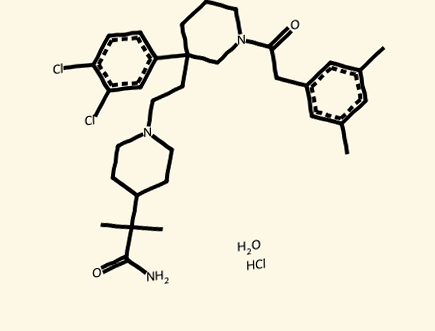 Cc1cc(C)cc(CC(=O)N2CCCC(CCN3CCC(C(C)(C)C(N)=O)CC3)(c3ccc(Cl)c(Cl)c3)C2)c1.Cl.O